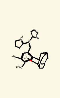 CC(C)(C)c1cc(CP(C2CCCN2)C2CCCN2)c(C23CC4CC(CC(C4)C2CP)C3)cc1C(C)(C)C